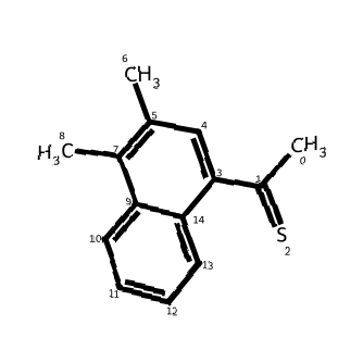 CC(=S)c1cc(C)c(C)c2ccccc12